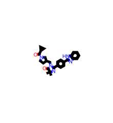 CC1(C)N=C(c2ccc(-c3nc4ccccc4[nH]3)cc2)N(CC2CCN(C(=O)C3CC3)C2)C1=O